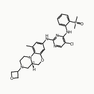 Cc1cc(Nc2ncc(Cl)c(Nc3ccccc3P(C)(C)=O)n2)cc2c1N1CCN(C3COC3)C[C@H]1CO2